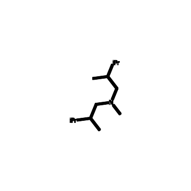 CC(C)C(C)CN(C)CC(C)C(C)C